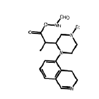 CCN1CCN(c2cccc3c2CCN=C3)C(C(C)C(=O)ONC=O)C1